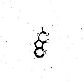 CC(=O)OC1Cc2cccnc2C1=O